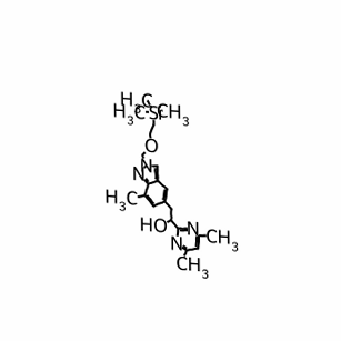 Cc1cc(C)nc(C(O)Cc2cc(C)c3nn(COCC[Si](C)(C)C)cc3c2)n1